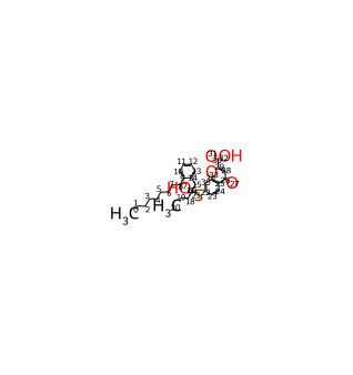 CCCCCCCCCc1ccccc1C[C@](O)(CCC)Sc1ccc2c(=O)cc(C(=O)O)oc2c1